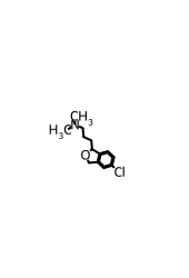 CN(C)CCCC1OCc2cc(Cl)ccc21